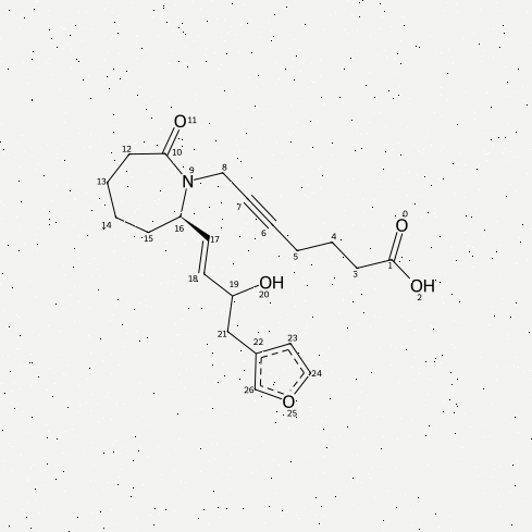 O=C(O)CCCC#CCN1C(=O)CCCC[C@@H]1/C=C/C(O)Cc1ccoc1